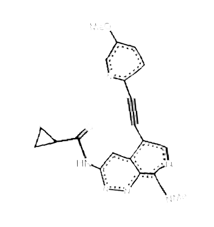 CNc1ncc(C#Cc2ccc(OC)cn2)c2cc(NC(=O)C3CC3)nnc12